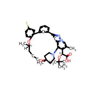 Cc1cn2nc3cc2c(c1[C@H](OC(C)(C)C)C(=O)O)N1CCC(C)(CC1)OCCC[C@H](C)Oc1ccc(F)cc1-c1cccc-3c1